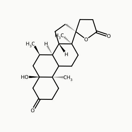 C[C@@H]1C[C@@]2(O)CC(=O)CC[C@]2(C)C2CC[C@@]3(C)[C@@H](CC[C@@]34CCC(=O)O4)[C@@H]21